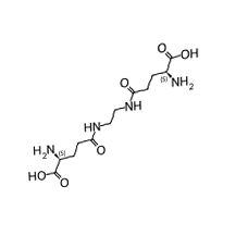 N[C@@H](CCC(=O)NCCNC(=O)CC[C@H](N)C(=O)O)C(=O)O